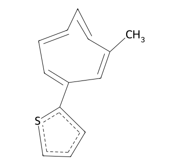 CC1=C/C(c2cccs2)=C\C=C\C=C\1